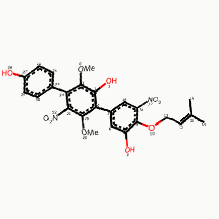 COc1c(O)c(-c2cc(O)c(OCC=C(C)C)c([N+](=O)[O-])c2)c(OC)c([N+](=O)[O-])c1-c1ccc(O)cc1